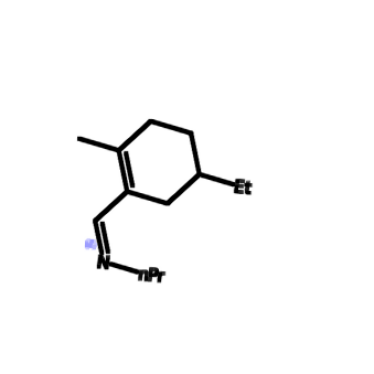 CCC/N=C\C1=C(C)CCC(CC)C1